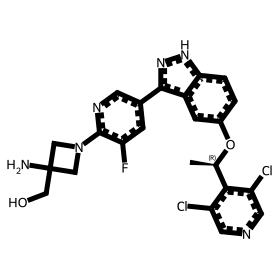 C[C@@H](Oc1ccc2[nH]nc(-c3cnc(N4CC(N)(CO)C4)c(F)c3)c2c1)c1c(Cl)cncc1Cl